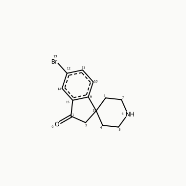 O=C1CC2(CCNCC2)c2ccc(Br)cc21